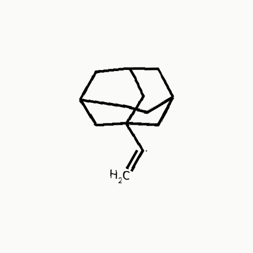 C=[C]C12CC3CC(CC(C3)C1)C2